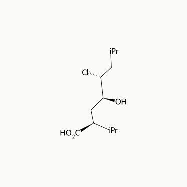 CC(C)C[C@@H](Cl)[C@@H](O)C[C@H](C(=O)O)C(C)C